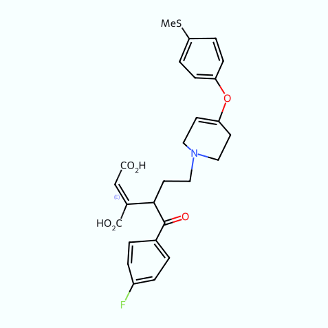 CSc1ccc(OC2=CCN(CCC(C(=O)c3ccc(F)cc3)/C(=C\C(=O)O)C(=O)O)CC2)cc1